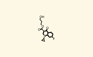 O=C(OCCCO)c1cn(C2CC2)c2cc(F)ccc2c1=O